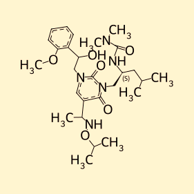 COc1ccccc1C(O)Cn1cc(C(C)NOC(C)C)c(=O)n(C[C@H](CC(C)C)NC(=O)N(C)C)c1=O